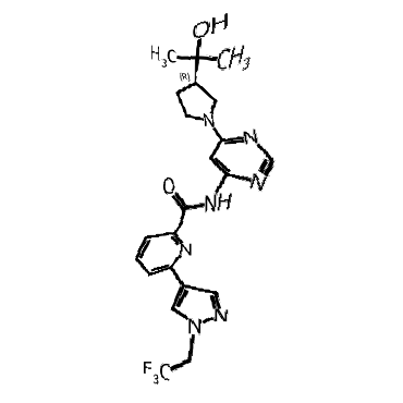 CC(C)(O)[C@@H]1CCN(c2cc(NC(=O)c3cccc(-c4cnn(CC(F)(F)F)c4)n3)ncn2)C1